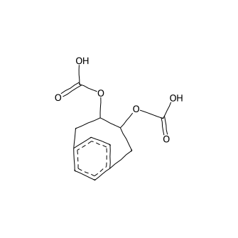 O=C(O)OC1Cc2ccc(cc2)CC1OC(=O)O